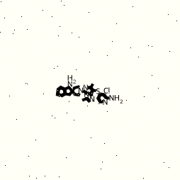 Cc1nc(N2CCC3(CC2)Cc2ccccc2[C@H]3N)n2c(C)cnc2c1Sc1ccnc(N)c1Cl